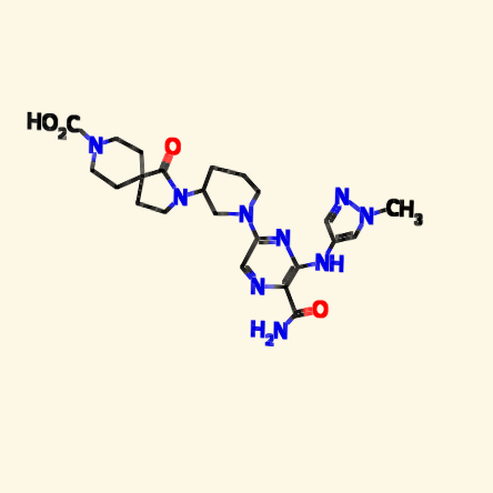 Cn1cc(Nc2nc(N3CCCC(N4CCC5(CCN(C(=O)O)CC5)C4=O)C3)cnc2C(N)=O)cn1